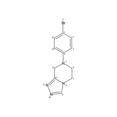 Brc1ccc(N2CCn3cnnc3C2)cc1